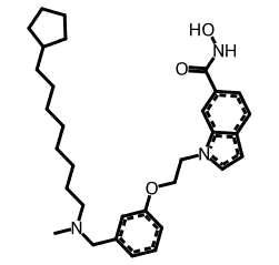 CN(CCCCCCCCC1CCCC1)Cc1cccc(OCCn2ccc3ccc(C(=O)NO)cc32)c1